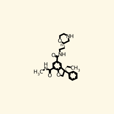 CC[C@]1(c2ccccc2)COc2c(C(=O)NC)cc(C(=O)NCC[C@H]3CNCCO3)cc21